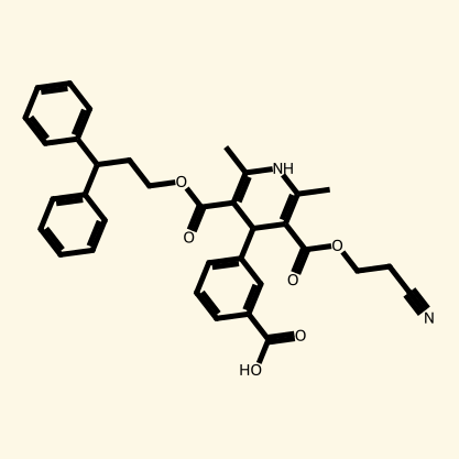 CC1=C(C(=O)OCCC#N)C(c2cccc(C(=O)O)c2)C(C(=O)OCCC(c2ccccc2)c2ccccc2)=C(C)N1